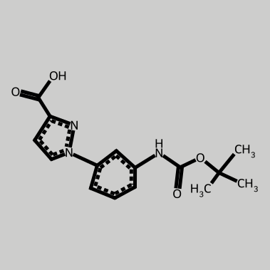 CC(C)(C)OC(=O)Nc1cccc(-n2ccc(C(=O)O)n2)c1